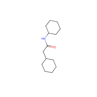 O=C(CC1CCCCC1)NC1CCCCC1